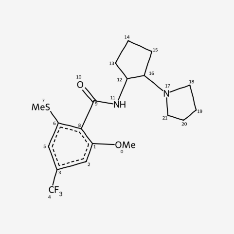 COc1cc(C(F)(F)F)cc(SC)c1C(=O)NC1CCCC1N1CCCC1